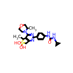 CC1c2c(nc(-c3ccc(NC(=O)NC4CC4)cc3)nc2N2CCOC[C@H]2C)CS1(O)O